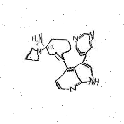 N[C@]1(N2CCC2)CCCN(c2ccnc3[nH]cc(-c4cncnc4)c23)C1